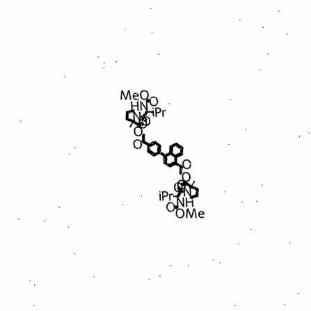 COC(=O)N[C@H](C(=O)N1CCC[C@@]1(C)C(=O)OCC(=O)c1ccc(-c2ccc(C(=O)COC(=O)[C@]3(C)CCCN3C(=O)[C@@H](NC(=O)OC)C(C)C)c3ccccc23)cc1)C(C)C